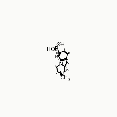 CN1CCn2c(nc3ccc(B(O)O)cc32)C1